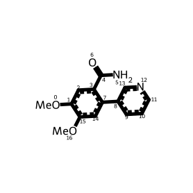 COc1cc(C(N)=O)c(-c2cccnc2)cc1OC